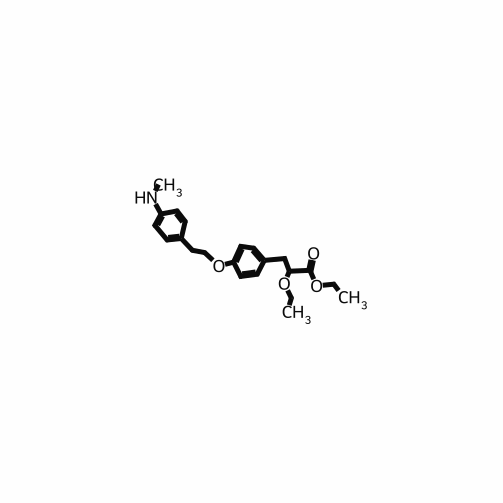 CCOC(=O)C(Cc1ccc(OCCc2ccc(NC)cc2)cc1)OCC